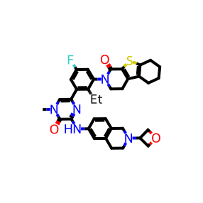 CCc1c(-c2cn(C)c(=O)c(Nc3ccc4c(c3)CCN(C3COC3)C4)n2)cc(F)cc1N1CCc2c(sc3c2CCCC3)C1=O